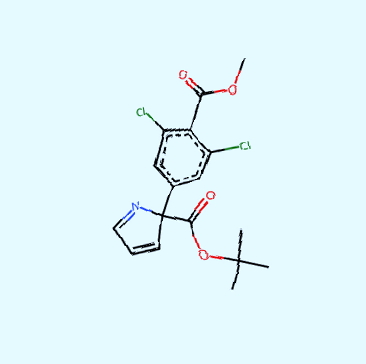 COC(=O)c1c(Cl)cc(C2(C(=O)OC(C)(C)C)C=CC=N2)cc1Cl